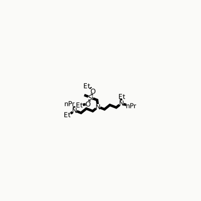 CCCN(CC)CCCN(CCCN(CC)CCC)C[Si](C)(OCC)OCC